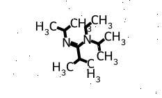 CCN(/C(=N\C(C)C)C(C)C)C(C)C